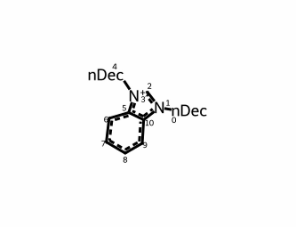 CCCCCCCCCCn1c[n+](CCCCCCCCCC)c2ccccc21